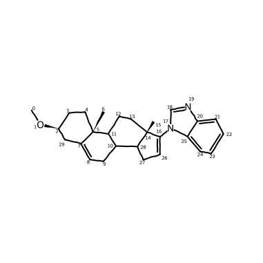 CO[C@H]1CC[C@@]2(C)C(=CCC3C2CC[C@]2(C)C(n4cnc5ccccc54)=CCC32)C1